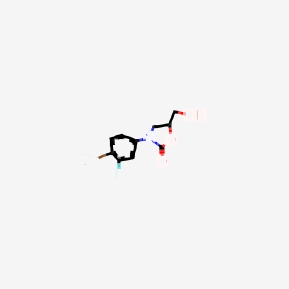 O=C1OC(CO)CN1c1ccc(Br)c(F)c1